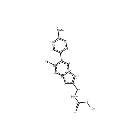 COc1cnc(-c2cc3[nH]c(CNC(=O)OC(C)(C)C)cc3cc2F)cn1